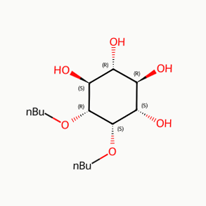 CCCCO[C@@H]1[C@@H](O)[C@H](O)[C@@H](O)[C@H](O)[C@@H]1OCCCC